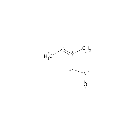 C/C=C(/C)CN=O